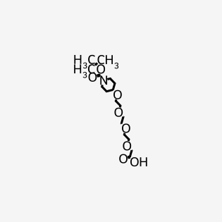 CC(C)(C)OC(=O)N1CCC(OCCOCCOCCOCC(=O)O)CC1